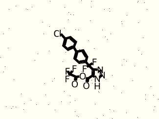 O=C(OC(=O)C(F)(F)F)c1[nH]nnc1C(F)(F)c1ccc(-c2ccc(Cl)cc2)cc1